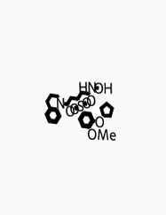 COc1ccc(S(=O)(=O)C(CC(=O)NO)CC(=O)N2CCCc3ccccc32)cc1OC1CCCC1